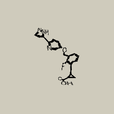 O=C(O)C1CC1c1cccc(COc2ccc(-c3ccn[nH]3)nc2)c1F